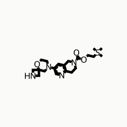 CS(C)(C)CCOC(=O)N1CCc2ncc(N3CCOC4(CNC4)C3)cc2C1